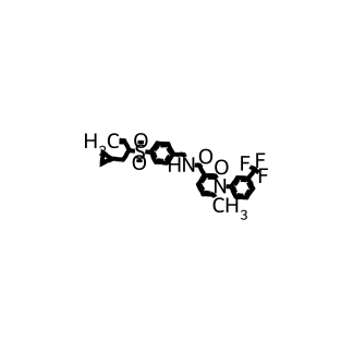 C=CC(CC1CC1)S(=O)(=O)c1ccc(CNC(=O)c2ccc(C)n(-c3cccc(C(F)(F)F)c3)c2=O)cc1